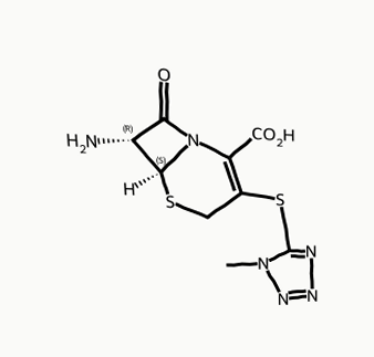 Cn1nnnc1SC1=C(C(=O)O)N2C(=O)[C@@H](N)[C@@H]2SC1